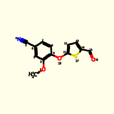 COc1cc(C#N)ccc1Oc1ccc(C=O)s1